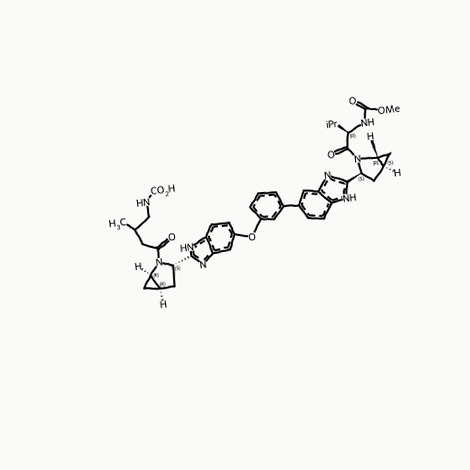 COC(=O)N[C@@H](C(=O)N1[C@@H]2C[C@H]2C[C@H]1c1nc2cc(-c3cccc(Oc4ccc5[nH]c([C@@H]6C[C@H]7C[C@H]7N6C(=O)CC(C)CNC(=O)O)nc5c4)c3)ccc2[nH]1)C(C)C